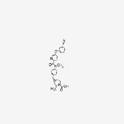 C[C@H]1CN(Cc2ccc(N(C)C(=O)c3ccc(Oc4cccc(C#N)c4)cn3)cc2)CCN1C(=O)O